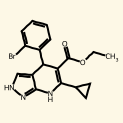 CCOC(=O)C1=C(C2CC2)Nc2n[nH]cc2C1c1ccccc1Br